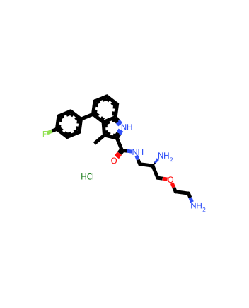 Cc1c(C(=O)NC[C@@H](N)COCCN)[nH]c2cccc(-c3ccc(F)cc3)c12.Cl